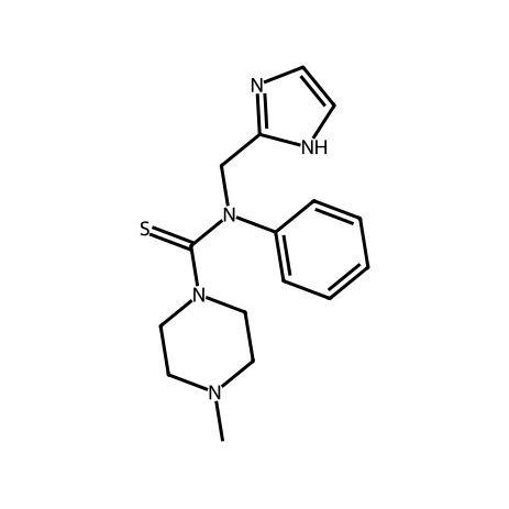 CN1CCN(C(=S)N(Cc2ncc[nH]2)c2ccccc2)CC1